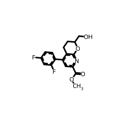 COC(=O)c1cc(-c2ccc(F)cc2F)c2c(n1)OC(CO)CC2